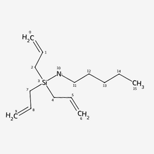 C=CC[Si](CC=C)(CC=C)[N]CCCCC